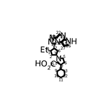 CC[C@@H]1C[C@H](N2CCC(C3CCCCC3)[C@H]2C(=O)O)C[C@@H]1c1nnc2cnc3[nH]ccc3n12